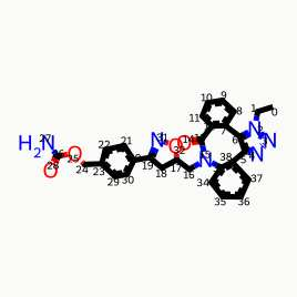 CCn1nnc2c1-c1ccccc1C(=O)N(CC1CC(c3ccc(COC(N)=O)cc3)=NO1)c1ccccc1-2